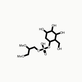 COCC(COP(=O)(O)OC1CC(O)C(O)C(O)C1CO)OC